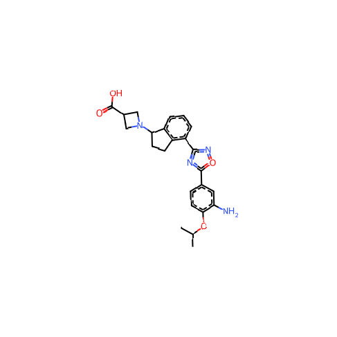 CC(C)Oc1ccc(-c2nc(-c3cccc4c3CCC4N3CC(C(=O)O)C3)no2)cc1N